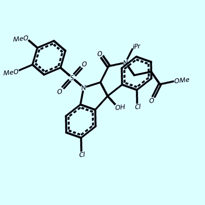 COC(=O)CCN(C(=O)C1N(S(=O)(=O)c2ccc(OC)c(OC)c2)c2ccc(Cl)cc2C1(O)c1ccccc1Cl)C(C)C